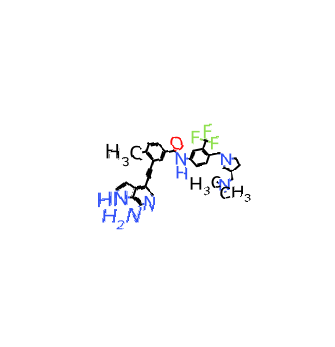 Cc1ccc(C(=O)Nc2ccc(CN3CC[C@@H](CN(C)C)C3)c(C(F)(F)F)c2)cc1C#Cc1cnc(N)c2[nH]ccc12